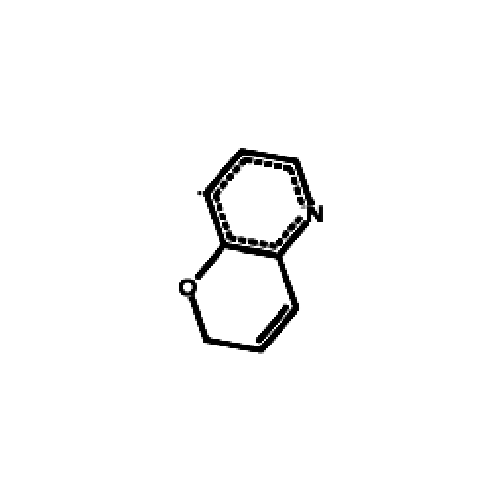 [c]1ccnc2c1OCC=C2